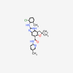 Cc1ccc(NC(=O)c2cc3nc(Nc4c(C)cccc4Cl)[nH]c3c3c2OC(C)(C)C3)nc1